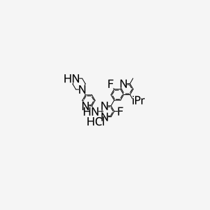 Cc1cc(C(C)C)c2cc(-c3nc(Nc4ccc(N5CCNCC5)cn4)ncc3F)cc(F)c2n1.Cl